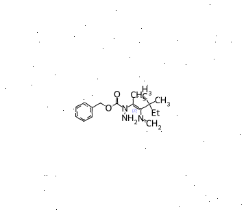 C=N/C(=C(/C)N(N)C(=O)OCc1ccccc1)C(C)(C)CC